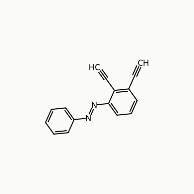 C#Cc1cccc(/N=N/c2ccccc2)c1C#C